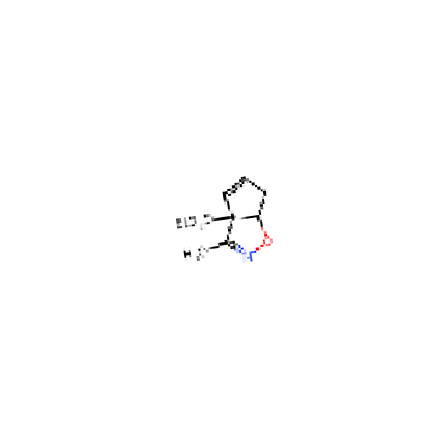 CCOC(=O)C12C=CCC1ON=C2C